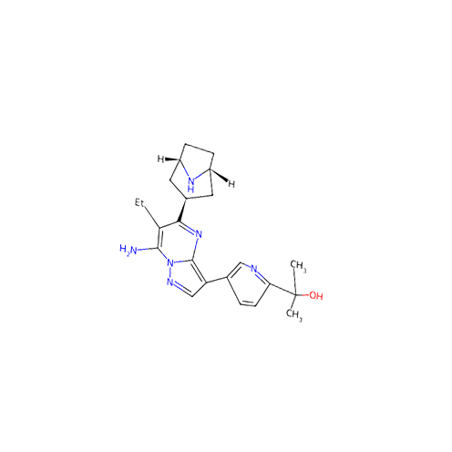 CCc1c([C@@H]2C[C@H]3CC[C@@H](C2)N3)nc2c(-c3ccc(C(C)(C)O)nc3)cnn2c1N